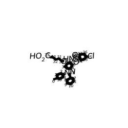 Cc1ccc(-n2c(-c3ccccc3)nc3cc(NS(=O)(=O)c4ccc(Cl)cc4)c(OCCCCCC(=O)O)cc32)cc1